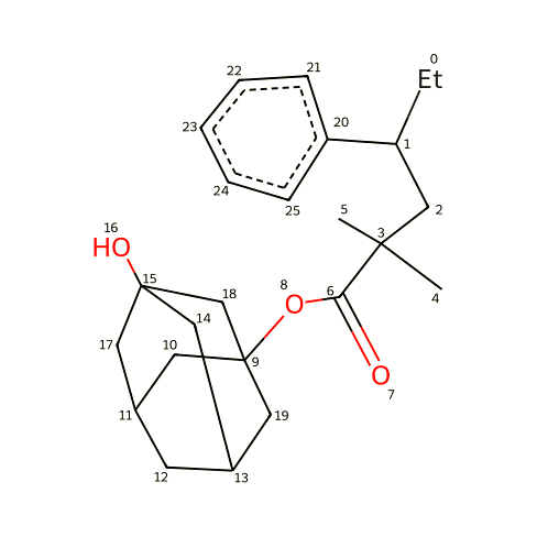 CCC(CC(C)(C)C(=O)OC12CC3CC(CC(O)(C3)C1)C2)c1ccccc1